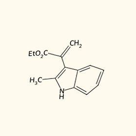 C=C(C(=O)OCC)c1c(C)[nH]c2ccccc12